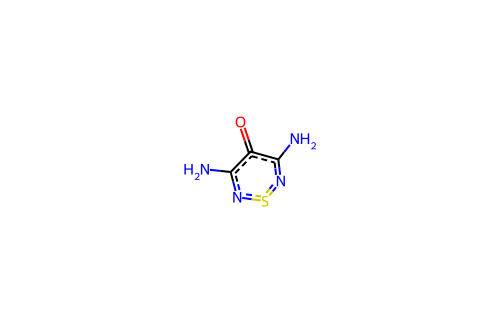 Nc1nsnc(N)c1=O